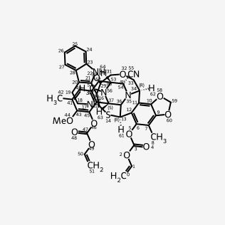 C=COC(=O)Oc1c(C)c2c(c3c1[C@H]1SC[C@]4(NCCc5c4[nH]c4ccccc54)C(=O)COC[C@@H]3N3C1[C@@H]1c4c(cc(C)c(OC)c4OC(=O)OC=C)C[C@H]([C@@H]3C#N)N1C)OCO2